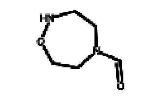 O=CN1CCNOCC1